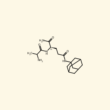 CC(N)C(=O)N[C@H](CCC(=O)NC12CC3CC(CC(C3)C1)C2)C(N)=O